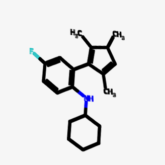 CC1=CC(C)C(C)=C1c1cc(F)ccc1NC1CCCCC1